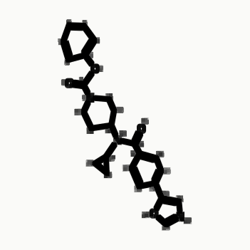 O=C(Oc1ccccc1)N1CCC(N(C(=O)c2ccc(-c3cnco3)cc2)C2CC2)CC1